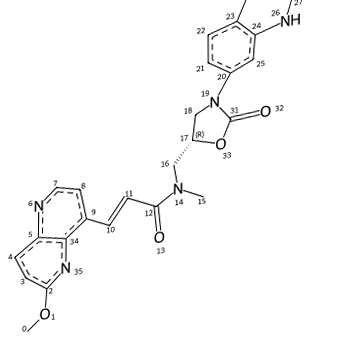 COc1ccc2nccc(C=CC(=O)N(C)C[C@@H]3CN(c4ccc5c(c4)NC(=O)CS5)C(=O)O3)c2n1